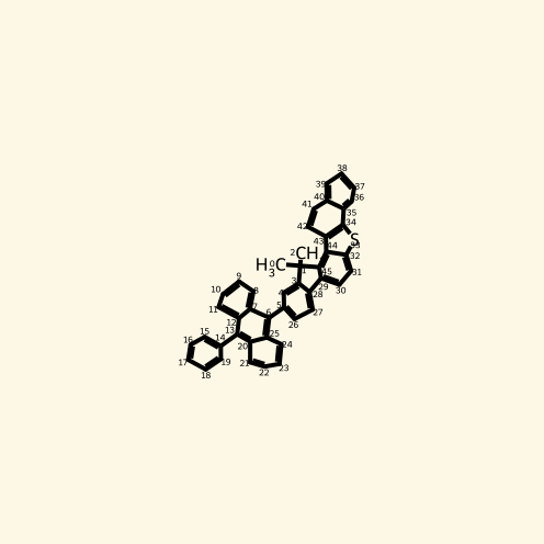 CC1(C)c2cc(-c3c4ccccc4c(-c4ccccc4)c4ccccc34)ccc2-c2ccc3sc4c5ccccc5ccc4c3c21